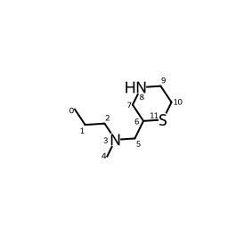 CCCN(C)CC1CNCCS1